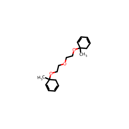 CC1(OCCOCCOC2(C)C=CC=CC2)C=CC=CC1